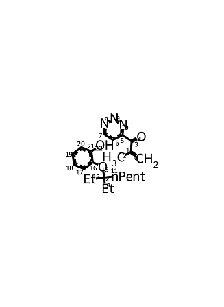 C=C(C)C(=O)c1ccnnn1.CCCCCC(CC)(CC)Oc1ccccc1O